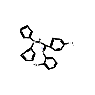 Cc1ccc(/C(=N\c2ccccc2C(C)(C)C)NP(c2ccccc2)c2ccccc2)cc1